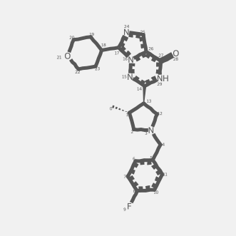 C[C@H]1CN(Cc2ccc(F)cc2)C[C@@H]1c1nn2c(C3CCOCC3)ncc2c(=O)[nH]1